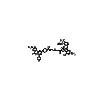 COc1c(C)cnc(CN2C[C@H](CC(=O)NCCOCCOC(=O)N3CCN(c4nc(-c5cnc(N)nc5C(F)F)nc(N5CCOCC5)n4)CC3)c3c(Cl)nc(N)nc32)c1C